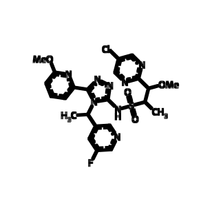 COc1cccc(-c2nnc(NS(=O)(=O)C(C)C(OC)c3ncc(Cl)cn3)n2C(C)c2cncc(F)c2)n1